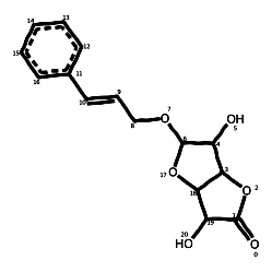 O=C1OC2C(O)C(OC/C=C/c3ccccc3)OC2C1O